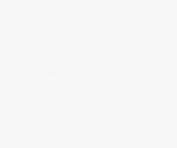 C/C=C\C(C(C(=O)O)c1ccccc1)P(=O)(O)Cc1ccsc1